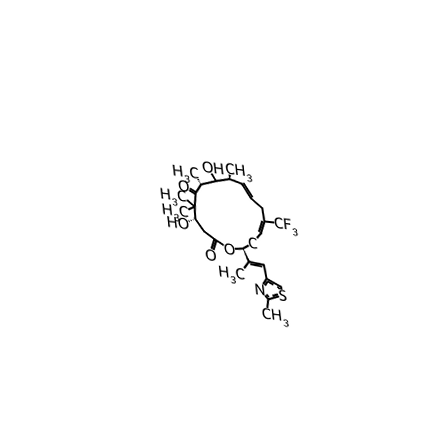 C/C(=C\c1csc(C)n1)[C@@H]1C/C=C(/C(F)(F)F)C/C=C/[C@H](C)C(O)[C@@H](C)C(=O)C(C)(C)[C@@H](O)CC(=O)O1